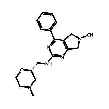 CN1CCO[C@H](CNc2nc3c(c(-c4ccccc4)n2)CN(C#N)C3)C1